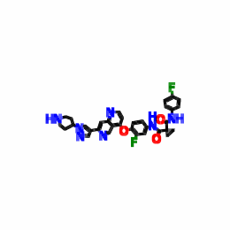 O=C(Nc1ccc(F)cc1)C1(C(=O)Nc2ccc(Oc3ccnc4cc(-c5cnn(C6CCNCC6)c5)ncc34)c(F)c2)CC1